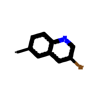 [CH2]c1ccc2ncc(Br)cc2c1